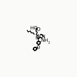 CCCCCC[C@H](CCC(=O)O)c1nc(-c2ccc(Oc3ccccc3)cc2)c2c(N)nccn12